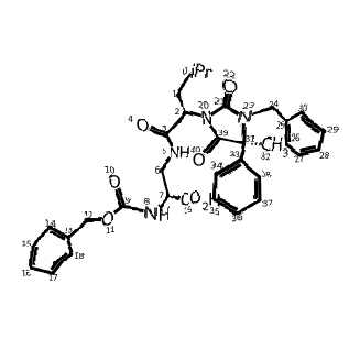 CC(C)C[C@H](C(=O)NC[C@H](NC(=O)OCc1ccccc1)C(=O)O)N1C(=O)N(Cc2ccccc2)[C@@](C)(c2ccccc2)C1=O